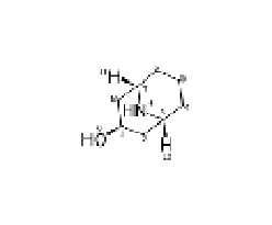 O[C@@H]1C[C@H]2CCC[C@@H](C1)N2